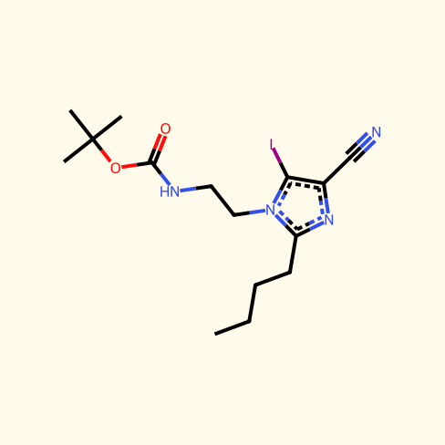 CCCCc1nc(C#N)c(I)n1CCNC(=O)OC(C)(C)C